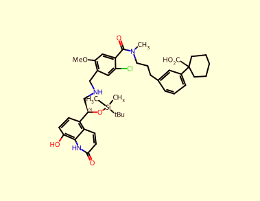 COc1cc(C(=O)N(C)CCCc2cccc(C3(C(=O)O)CCCCC3)c2)c(Cl)cc1CNC[C@@H](O[Si](C)(C)C(C)(C)C)c1ccc(O)c2[nH]c(=O)ccc12